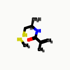 C=C(C)C(=O)N[C@@H](CS)C(=O)O.CS